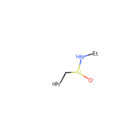 CCCC[S+]([O-])NCC